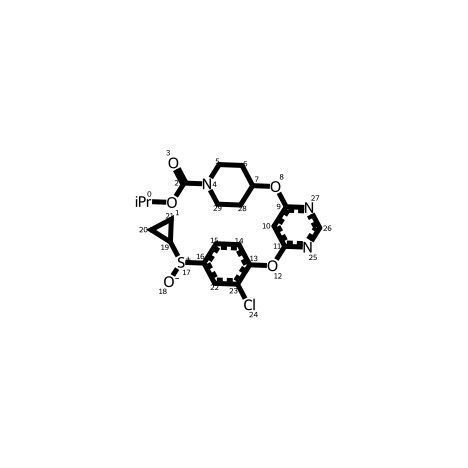 CC(C)OC(=O)N1CCC(Oc2cc(Oc3ccc([S+]([O-])C4CC4)cc3Cl)ncn2)CC1